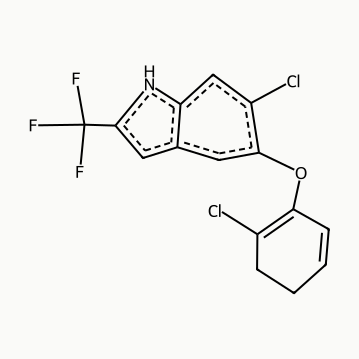 FC(F)(F)c1cc2cc(OC3=C(Cl)CCC=C3)c(Cl)cc2[nH]1